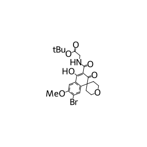 COc1cc2c(cc1Br)C1(CCOCC1)C(=O)C(C(=O)NCC(=O)OC(C)(C)C)=C2O